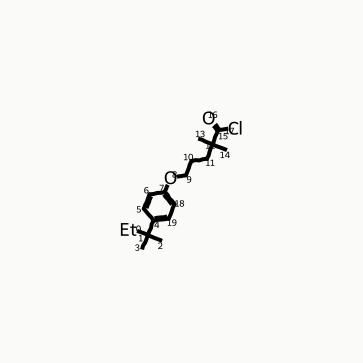 CCC(C)(C)c1ccc(OCCCC(C)(C)C(=O)Cl)cc1